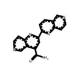 NC(=O)c1cc(-c2ccc3cnccc3n2)nc2ccncc12